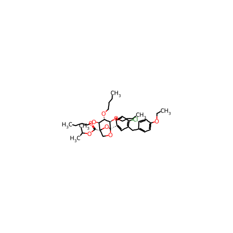 CCCCO[C@@H]1[C@@H](OCCCC)[C@@]2(c3ccc(Cl)c(Cc4ccc(OCC)cc4)c3)OC[C@](C(=O)OC(C)C)(O2)[C@H]1OCCCC